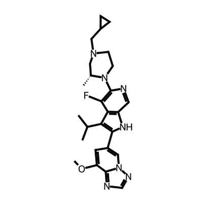 COc1cc(-c2[nH]c3cnc(N4CCN(CC5CC5)C[C@H]4C)c(F)c3c2C(C)C)cn2ncnc12